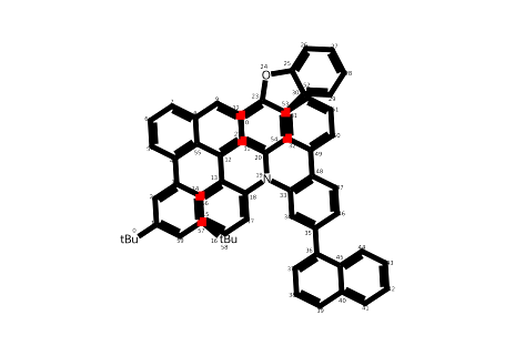 CC(C)(C)c1cc(-c2cccc3cccc(-c4ccccc4N(c4ccc5oc6ccccc6c5c4)c4cc(-c5cccc6ccccc56)ccc4-c4ccccc4)c23)cc(C(C)(C)C)c1